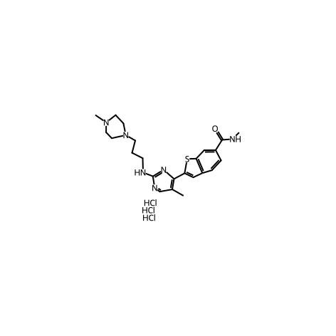 CNC(=O)c1ccc2cc(-c3nc(NCCCN4CCN(C)CC4)ncc3C)sc2c1.Cl.Cl.Cl